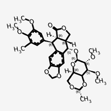 COc1cc([C@@H]2c3cc4c(cc3[C@@H](O[C@@H]3O[C@@H]5CO[C@@H](C)OC5[C@H](OC)[C@H]3OC)[C@H]3COC(=O)[C@H]23)OCO4)cc(C)c1OC